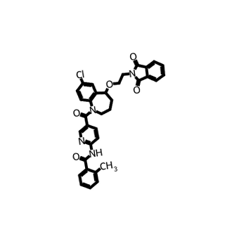 Cc1ccccc1C(=O)Nc1ccc(C(=O)N2CCCC(OCCN3C(=O)c4ccccc4C3=O)c3cc(Cl)ccc32)cn1